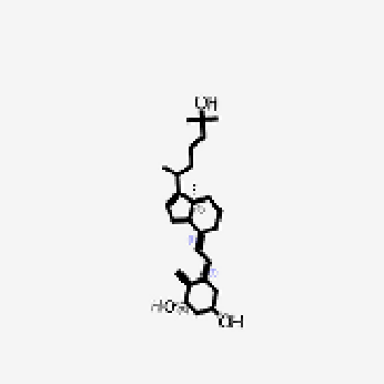 C=C1/C(=C\C=C2/CCC[C@]3(C)C(C(C)CCCC(C)(C)O)=CCC23)CC(O)C[C@@H]1O